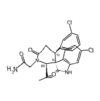 C=C(C)[C@H]1N(CC(N)=O)C(=O)C[C@@H](c2cccc(Cl)c2)[C@]12C(=O)Nc1cc(Cl)ccc12